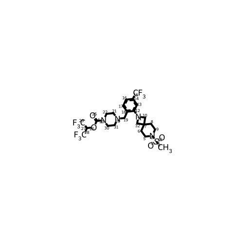 CS(=O)(=O)N1CCC2(CC1)CN(c1cc(C(F)(F)F)ccc1CN1CCN(C(=O)OC(C(F)(F)F)C(F)(F)F)CC1)C2